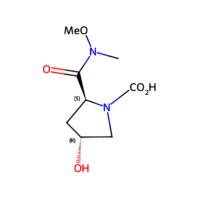 CON(C)C(=O)[C@@H]1C[C@@H](O)CN1C(=O)O